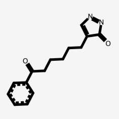 O=C1N=NC=C1CCCCCC(=O)c1ccccc1